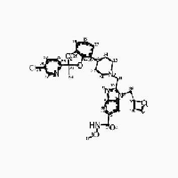 CONC(=O)c1cc2c(nc(CN3CCC(c4cccc5c4O[C@](C)(c4ccc(Cl)cn4)O5)CC3)n2C[C@@H]2CCO2)s1